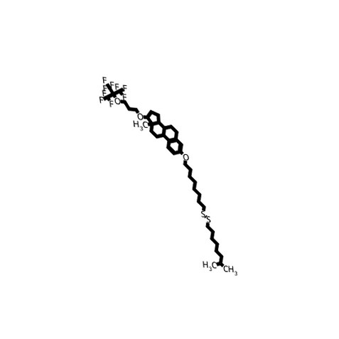 CC(C)CCCCCCSSCCCCCCCCOc1ccc2c(c1)CCC1C2CCC2(C)C(OCCCOC(C(F)(F)F)(C(F)(F)F)C(F)(F)F)CCC12